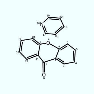 O=c1c2ccccc2oc2ccccc12.c1ccncc1